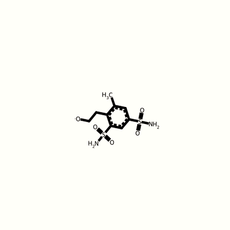 Cc1cc(S(N)(=O)=O)cc(S(N)(=O)=O)c1CC[O]